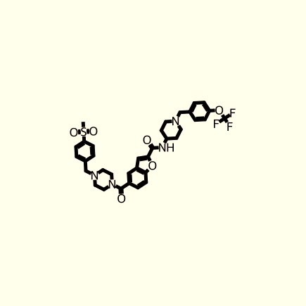 CS(=O)(=O)c1ccc(CN2CCN(C(=O)c3ccc4oc(C(=O)NC5CCN(Cc6ccc(OC(F)(F)F)cc6)CC5)cc4c3)CC2)cc1